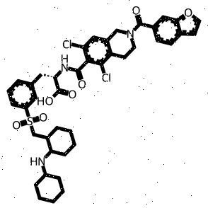 O=C(N[C@@H](Cc1cccc(S(=O)(=O)CC2CCCCC2NC2CCCCC2)c1)C(=O)O)c1c(Cl)cc2c(c1Cl)CCN(C(=O)c1ccc3ccoc3c1)C2